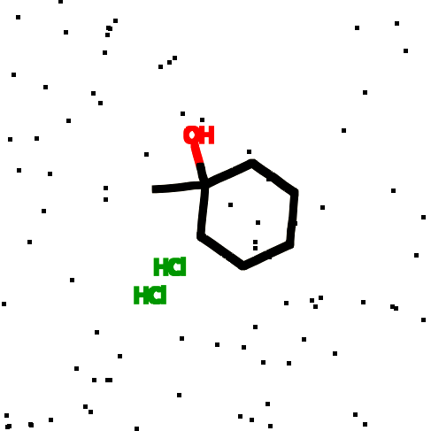 CC1(O)CCCCC1.Cl.Cl